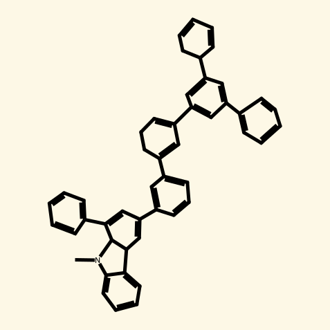 CN1c2ccccc2C2C=C(c3cccc(C4=CC(c5cc(-c6ccccc6)cc(C6C=CC=CC6)c5)=CCC4)c3)C=C(c3ccccc3)C21